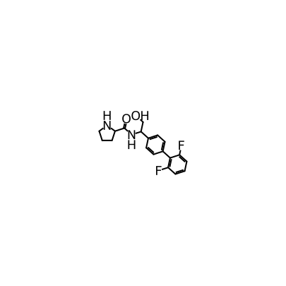 O=C(NC(CO)c1ccc(-c2c(F)cccc2F)cc1)C1CCCN1